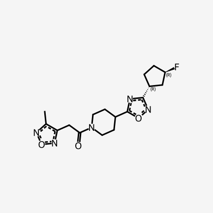 Cc1nonc1CC(=O)N1CCC(c2nc([C@@H]3CC[C@@H](F)C3)no2)CC1